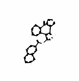 NC(=O)c1ccccc1-c1c(-c2ccsc2)noc1NC(=O)c1ccc2ccccc2c1